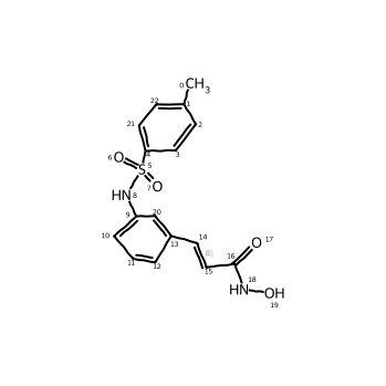 Cc1ccc(S(=O)(=O)Nc2cccc(/C=C/C(=O)NO)c2)cc1